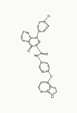 O=C(Nc1ccc(Oc2ccnc3[nH]ccc23)cc1)c1cn(-c2ccc(Cl)cc2)c2ncccc2c1=O